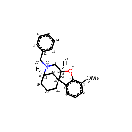 COc1cccc2c1O[C@@H]1CN(Cc3ccccc3)[C@@H]3CCC[C@]21C3